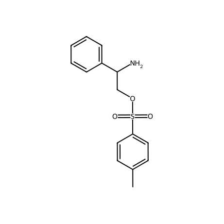 Cc1ccc(S(=O)(=O)OCC(N)c2ccccc2)cc1